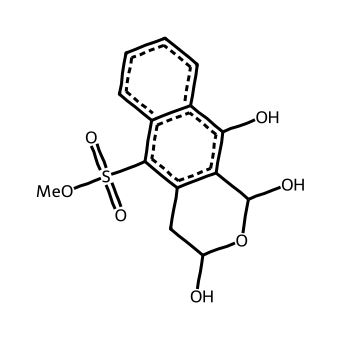 COS(=O)(=O)c1c2c(c(O)c3ccccc13)C(O)OC(O)C2